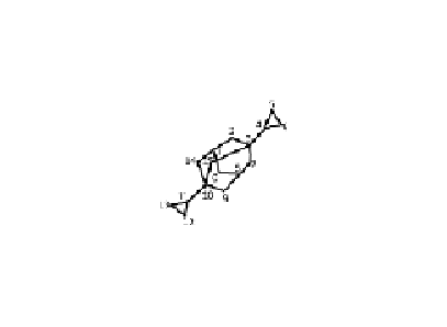 C1C2CC3(C4CC4)CC1CC(C1CC1)(C2)C3